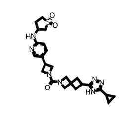 O=C(N1CC(c2ccc(NC3CCS(=O)(=O)C3)nc2)C1)N1CC2(CC(c3nnc(C4CC4)[nH]3)C2)C1